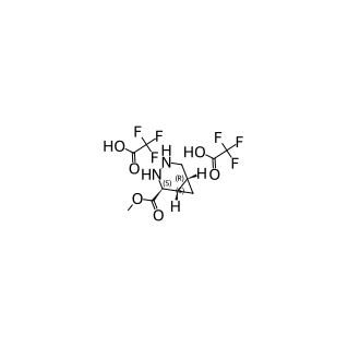 COC(=O)[C@H]1NNC[C@@H]2C[C@@H]21.O=C(O)C(F)(F)F.O=C(O)C(F)(F)F